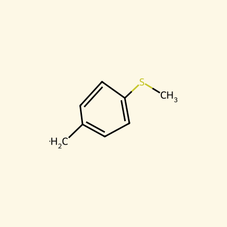 [CH2]c1ccc(SC)cc1